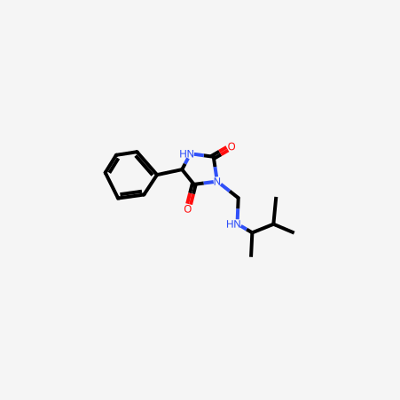 CC(C)C(C)NCN1C(=O)NC(c2ccccc2)C1=O